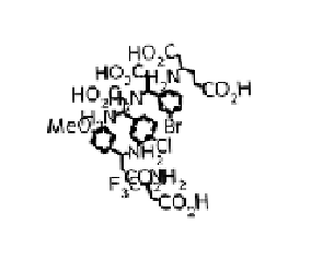 COc1ccc(C(N)CC(=O)O)cc1.NC(CC(=O)O)C(F)(F)F.NC(CC(=O)O)c1ccc(Cl)cc1.NC(CC(=O)O)c1cccc(Br)c1.NC(CCC(=O)O)CC(=O)O